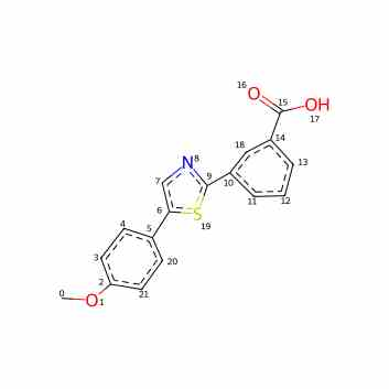 COc1ccc(-c2cnc(-c3cccc(C(=O)O)c3)s2)cc1